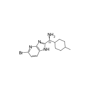 CC1CCC([C@H](N)c2nc3nc(Br)ccc3[nH]2)CC1